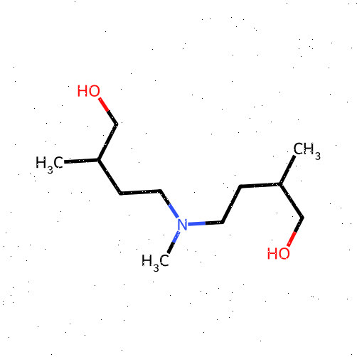 CC(CO)CCN(C)CCC(C)CO